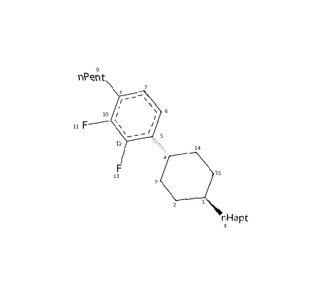 CCCCCCC[C@H]1CC[C@H](c2ccc(CCCCC)c(F)c2F)CC1